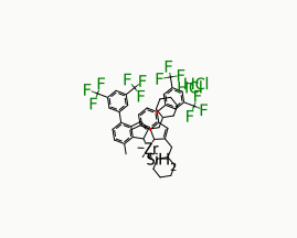 Cc1ccc(-c2cc(C(F)(F)F)cc(C(F)(F)F)c2)c2c1[CH]([Zr]([CH3])([CH3])(=[SiH2])[CH]1C(CC3CCCCC3)=Cc3c(-c4cc(C(F)(F)F)cc(C(F)(F)F)c4)ccc(C)c31)C(CC1CCCCC1)=C2.Cl.Cl